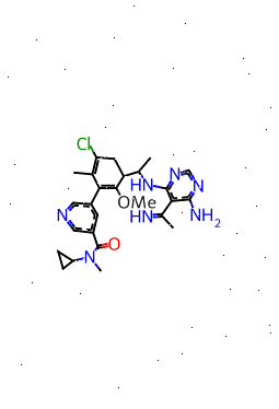 COC1=C(c2cncc(C(=O)N(C)C3CC3)c2)C(C)=C(Cl)CC1C(C)Nc1ncnc(N)c1C(C)=N